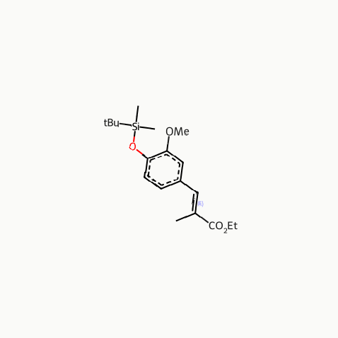 CCOC(=O)/C(C)=C/c1ccc(O[Si](C)(C)C(C)(C)C)c(OC)c1